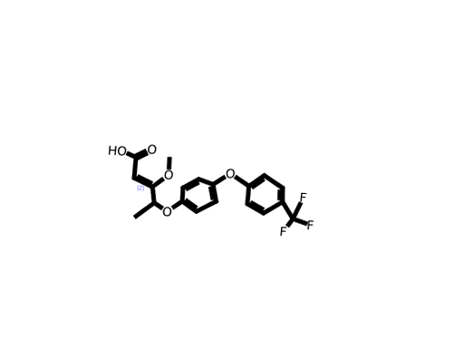 CO/C(=C\C(=O)O)C(C)Oc1ccc(Oc2ccc(C(F)(F)F)cc2)cc1